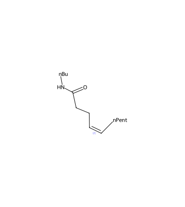 CCCCC/C=C\CCC(=O)NCCCC